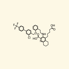 O=C(O)CCCCc1c2c(nc(C(=O)O)c1NCCc1ccccc1OCc1ccc(-c3ccc(C(F)(F)F)cc3)cc1Cl)CCCC2